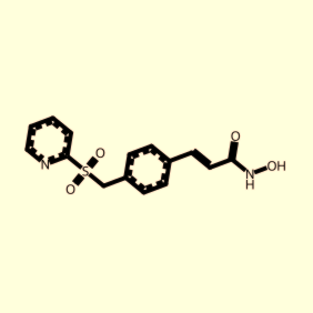 O=C(C=Cc1ccc(CS(=O)(=O)c2ccccn2)cc1)NO